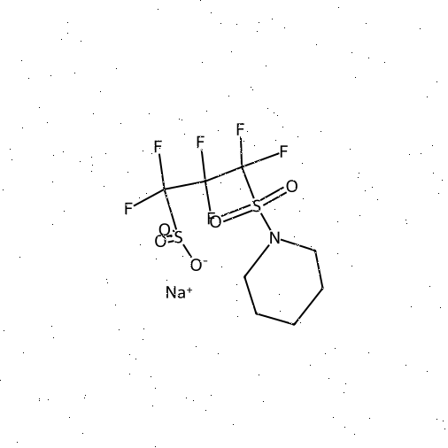 O=S(=O)([O-])C(F)(F)C(F)(F)C(F)(F)S(=O)(=O)N1CCCCC1.[Na+]